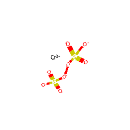 O=S(=O)([O-])OOS(=O)(=O)[O-].[Cr+2]